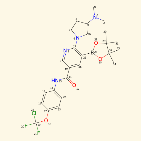 CN(C)C1CCN(c2ncc(C(=O)Nc3ccc(OC(F)(F)Cl)cc3)cc2B2OC(C)(C)C(C)(C)O2)C1